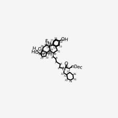 CCCCCCCCCCCC(=O)N(CCCCC[C@@H]1Cc2cc(O)ccc2[C@@H]2[C@@H]1[C@@H]1CC[C@H](O)[C@@]1(C)C[C@@H]2F)CC1CCCCC1